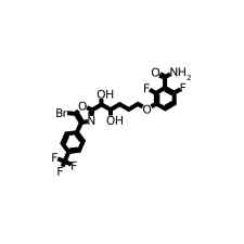 NC(=O)c1c(F)ccc(OCCCC(O)C(O)c2nc(-c3ccc(C(F)(F)F)cc3)c(Br)o2)c1F